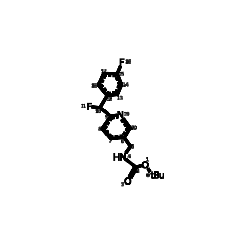 CC(C)(C)OC(=O)NCc1ccc(C(F)c2ccc(F)cc2)nc1